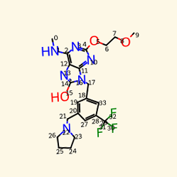 CNc1nc(OCCOC)nc2c1nc(O)n2Cc1cc(CN2CCCC2)cc(C(F)(F)F)c1